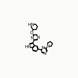 c1cc2[nH]cc(-c3cncc(OC4CCCNC4)n3)c2cc1-c1cncc(N2CCCC2)n1